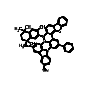 Cc1cc2c(cc1N1B3c4c(cc(-c5ccccc5)cc4-n4c5ccc(C(C)(C)C)cc5c5cc(C(C)(C)C)cc3c54)-c3c1ccc1c3sc3ccccc31)C(C)(C)CCC2(C)C